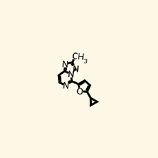 Cc1nc2ccnc(-c3ccc(C4CC4)o3)n2n1